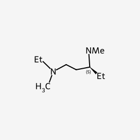 CC[C@@H](CCN(C)CC)NC